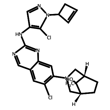 C[C@]1(O)[C@@H]2CC[C@H]1CN(c1cc3nc(Nc4cnn(C5C=CC5)c4Cl)ncc3cc1Cl)C2